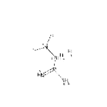 CN(C)NC(=N)N.I.I